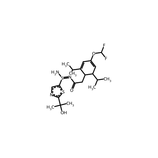 CC(C)C1=CC(OC(F)F)=CC(C(C)C)C1CC(=O)/N=S(/N)c1cnc(C(C)(C)O)s1